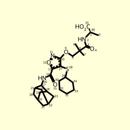 C[C@@H](NC(=O)C(C)(C)COc1noc(C(=O)NC2C3CC4CC(C3)CC2C4)c1SC1CCCCC1)C(=O)O